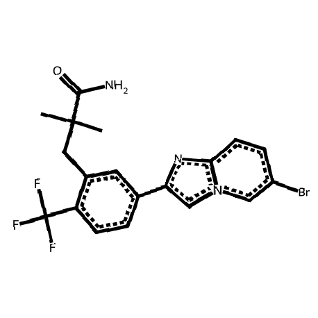 CC(C)(Cc1cc(-c2cn3cc(Br)ccc3n2)ccc1C(F)(F)F)C(N)=O